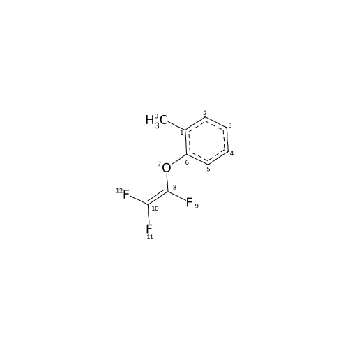 Cc1ccccc1OC(F)=C(F)F